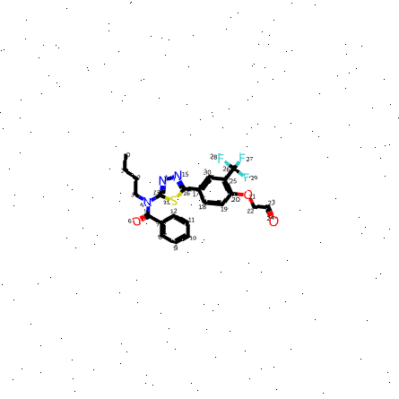 CCCCN(C(=O)c1ccccc1)c1nnc(-c2ccc(OCC=O)c(C(F)(F)F)c2)s1